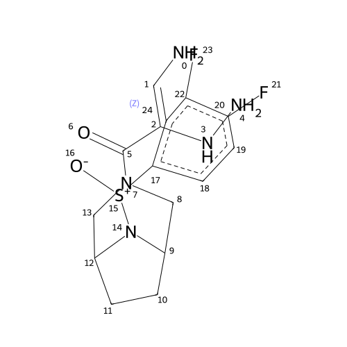 N/C=C(\NN)C(=O)N1CC2CCC(C1)N2[S+]([O-])c1ccc(F)c(F)c1